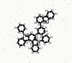 c1ccc(-n2c3ccccc3c3c4c5ccccc5n(-c5ccccc5)c4c(-c4cccc(-c5cccc6c5oc5ccccc56)c4)cc32)cc1